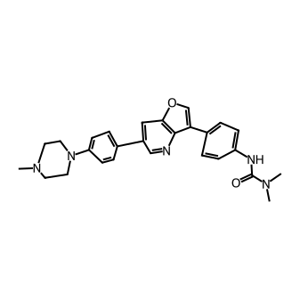 CN1CCN(c2ccc(-c3cnc4c(-c5ccc(NC(=O)N(C)C)cc5)coc4c3)cc2)CC1